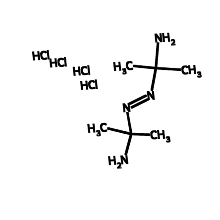 CC(C)(N)N=NC(C)(C)N.Cl.Cl.Cl.Cl